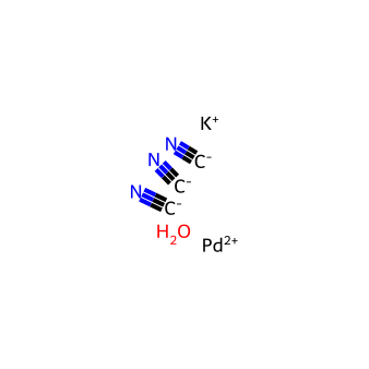 O.[C-]#N.[C-]#N.[C-]#N.[K+].[Pd+2]